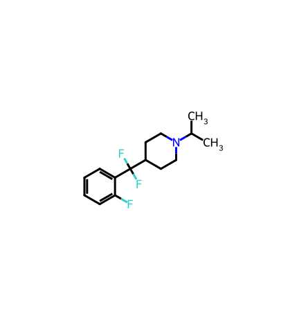 CC(C)N1CCC(C(F)(F)c2ccccc2F)CC1